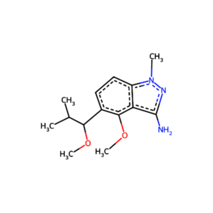 COc1c(C(OC)C(C)C)ccc2c1c(N)nn2C